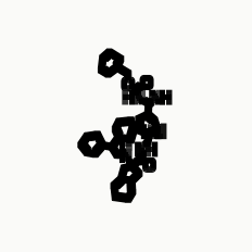 Cl.N=C(NC(=O)OCc1ccccc1)c1ccc(CNC(=O)C2(NCC(c3ccccc3)c3ccccc3)Cc3ccccc3C2)cc1